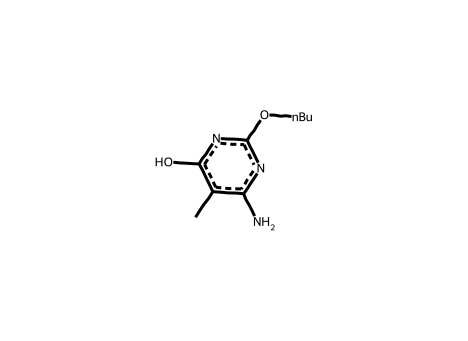 CCCCOc1nc(N)c(C)c(O)n1